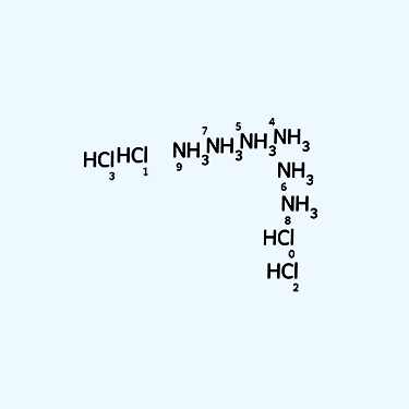 Cl.Cl.Cl.Cl.N.N.N.N.N.N